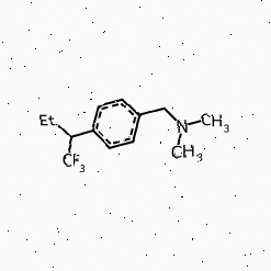 CCC(c1ccc(CN(C)C)cc1)C(F)(F)F